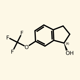 O[C@@H]1CCc2ccc(OC(F)(F)F)cc21